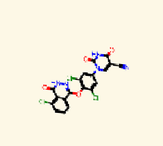 N#Cc1cn(-c2cc(Cl)c(Oc3n[nH]c(=O)c4c(Cl)cccc34)c(Cl)c2)c(=O)[nH]c1=O